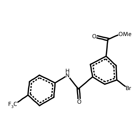 COC(=O)c1cc(Br)cc(C(=O)Nc2ccc(C(F)(F)F)cc2)c1